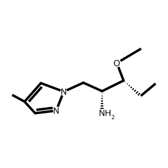 CC[C@@H](OC)[C@H](N)Cn1cc(C)cn1